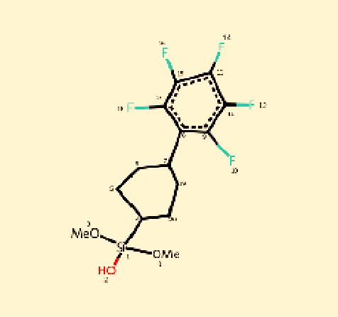 CO[Si](O)(OC)C1CCC(c2c(F)c(F)c(F)c(F)c2F)CC1